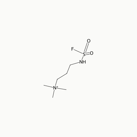 C[N+](C)(C)CCCNS(=O)(=O)F